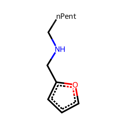 CCCCCCNCc1ccco1